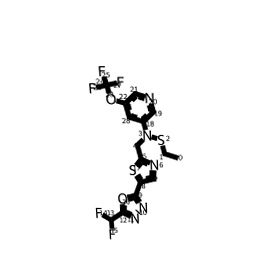 CCSN(Cc1ncc(-c2nnc(C(F)F)o2)s1)c1cncc(OC(F)(F)F)c1